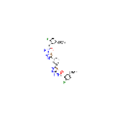 COc1ccc(F)c(CC(=O)Nc2nnc([C@H]3CCC[C@H](c4nnc(NC(=O)Cc5cc(OC)ccc5F)s4)C3)s2)c1